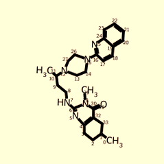 CC1CCc2nc(NCCC(C)N3CCN(c4ccc5ccccc5n4)CC3)n(C)c(=O)c2C1